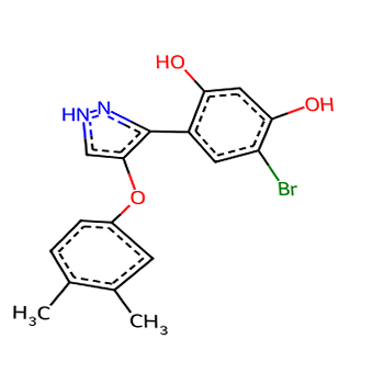 Cc1ccc(Oc2c[nH]nc2-c2cc(Br)c(O)cc2O)cc1C